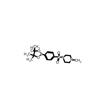 [CH2]N1CCN(S(=O)(=O)c2ccc(B3OC(C)(C)C(C)(C)O3)cc2)CC1